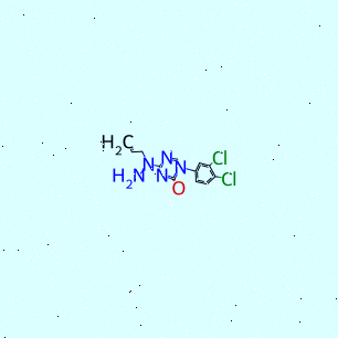 C=CCN(N)c1ncn(-c2ccc(Cl)c(Cl)c2)c(=O)n1